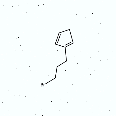 BrCCCC1=[C]CC=C1